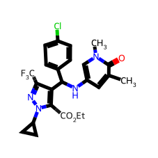 CCOC(=O)c1c(C(Nc2cc(C)c(=O)n(C)c2)c2ccc(Cl)cc2)c(C(F)(F)F)nn1C1CC1